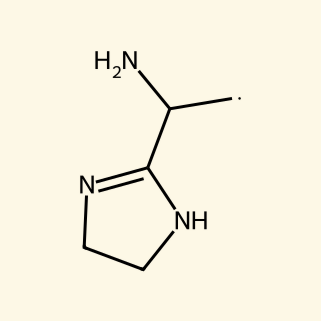 [CH2]C(N)C1=NCCN1